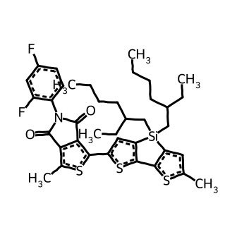 CCCCC(CC)C[Si]1(CC(CC)CCCC)c2cc(C)sc2-c2sc(-c3sc(C)c4c3C(=O)N(c3ccc(F)cc3F)C4=O)cc21